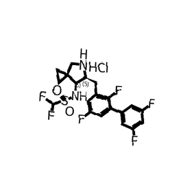 Cl.O=S(=O)(N[C@@H]1[C@H](Cc2cc(F)cc(-c3cc(F)cc(F)c3)c2F)NCC12CC2)C(F)F